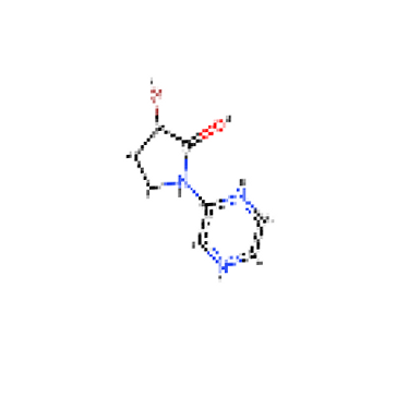 O=C1C(Br)CCN1c1cnccn1